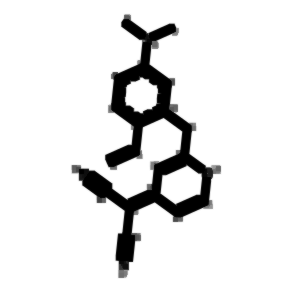 C=Cc1ccc(N(C)C)cc1CC1=CC(=C(C#N)C#N)C=CO1